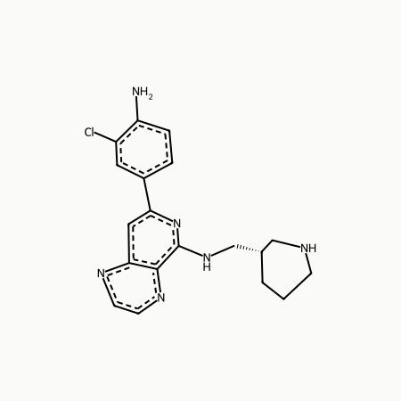 Nc1ccc(-c2cc3nccnc3c(NC[C@H]3CCCNC3)n2)cc1Cl